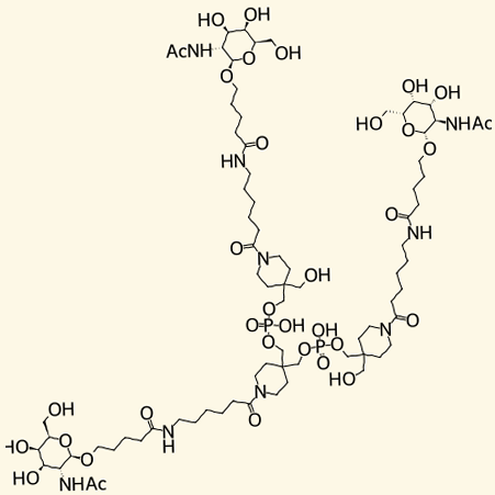 CC(=O)N[C@H]1[C@H](OCCCCC(=O)NCCCCCC(=O)N2CCC(CO)(COP(=O)(O)OCC3(COP(=O)(O)OCC4(CO)CCN(C(=O)CCCCCNC(=O)CCCCO[C@@H]5O[C@H](CO)[C@H](O)[C@H](O)[C@H]5NC(C)=O)CC4)CCN(C(=O)CCCCCNC(=O)CCCCO[C@@H]4O[C@H](CO)[C@H](O)[C@H](O)[C@H]4NC(C)=O)CC3)CC2)O[C@H](CO)[C@H](O)[C@@H]1O